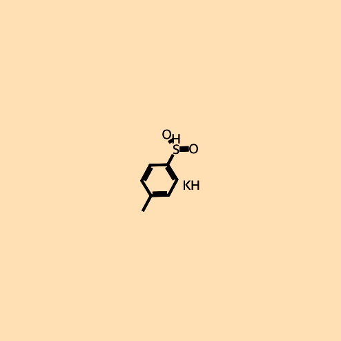 Cc1ccc([SH](=O)=O)cc1.[KH]